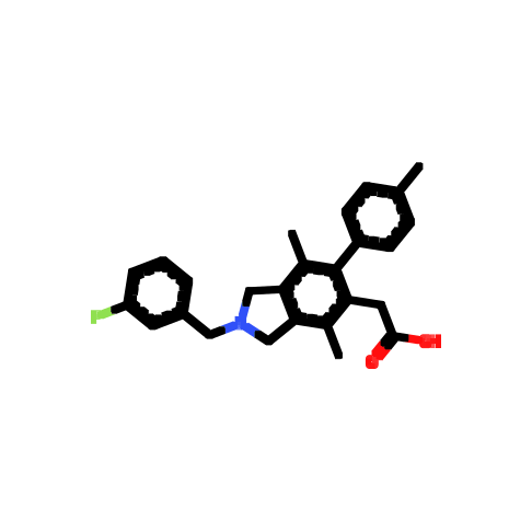 Cc1ccc(-c2c(C)c3c(c(C)c2CC(=O)O)CN(Cc2cccc(F)c2)C3)cc1